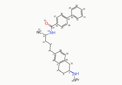 CCCN[C@H]1CCc2cc(CCCC(C#N)NC(=O)c3ccc(-c4ccccc4)cc3)ccc2C1